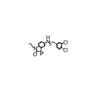 CCCN1C(=O)C2(CC2)c2cc(NSCc3ccc(Cl)c(Cl)c3)ccc21